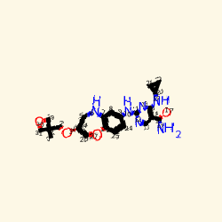 CC1(CO[C@H]2CNc3cc(Nc4ncc(C(N)=O)c(NC5CC5)n4)ccc3OC2)COC1